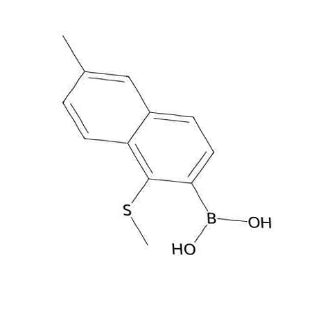 CSc1c(B(O)O)ccc2cc(C)ccc12